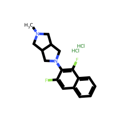 CN1CC2CN(c3c(F)cc4ccccc4c3F)CC2C1.Cl.Cl